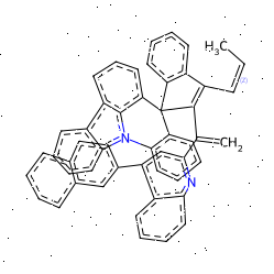 C=C(C1=C(/C=C\C)c2ccccc2C12c1ccccc1-n1c3ccccc3c3cccc2c31)c1cc(-c2ccc3ccccc3c2)c2ccccc2n1